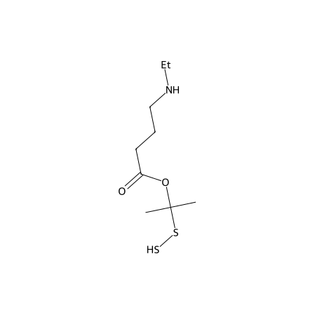 CCNCCCC(=O)OC(C)(C)SS